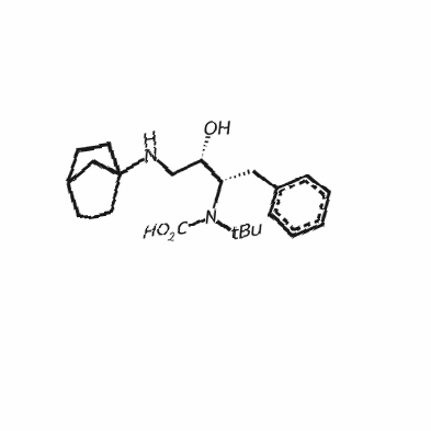 CC(C)(C)N(C(=O)O)[C@@H](Cc1ccccc1)[C@@H](O)CNC12CCC(CC1)C2